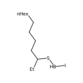 CCCCCCCCCCC(CC)SBI